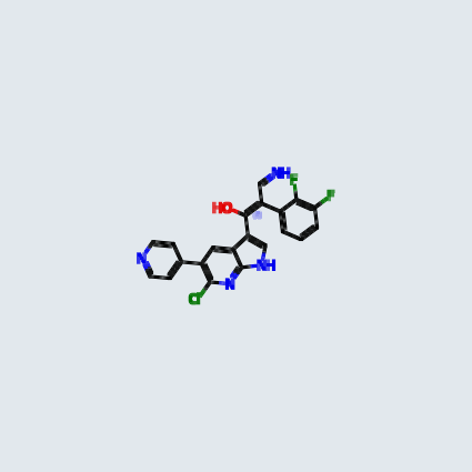 N=C/C(=C(\O)c1c[nH]c2nc(Cl)c(-c3ccncc3)cc12)c1cccc(F)c1F